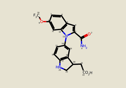 NC(=O)c1cc2ccc(OC(F)(F)F)cc2n1-c1ccc2c(c1)C(CC(=O)O)CN2